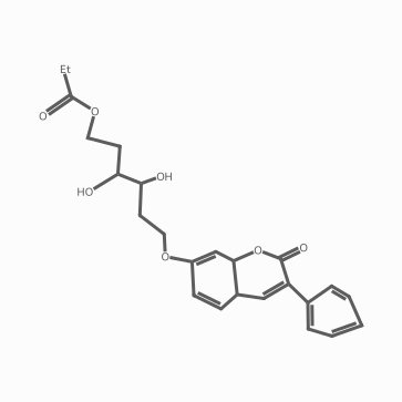 CCC(=O)OCCC(O)C(O)CCOC1=CC2OC(=O)C(c3ccccc3)=CC2C=C1